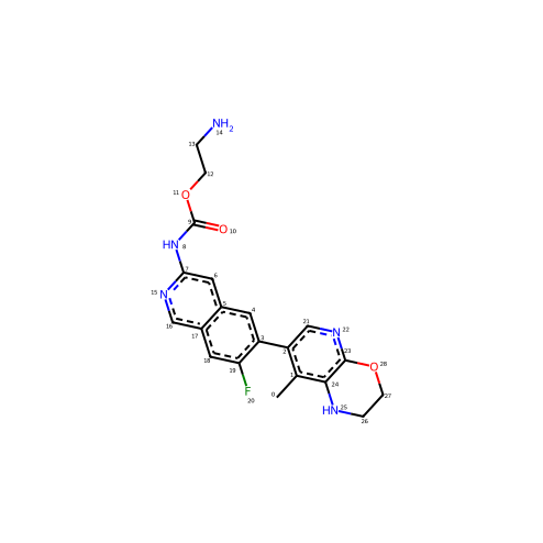 Cc1c(-c2cc3cc(NC(=O)OCCN)ncc3cc2F)cnc2c1NCCO2